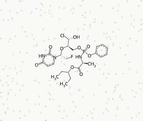 CCC(CC)OC(=O)[C@H](C)NP(=O)(OC[C@@H](O[C@H](CF)n1ccc(=O)[nH]c1=O)[C@@H](O)Cl)Oc1ccccc1